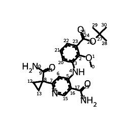 COc1c(Nc2cc(C3(C(N)=O)CC3)ncc2C(N)=O)cccc1C(=O)OC(C)(C)C